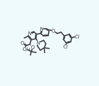 Cc1ncc(-c2ccc(OCCc3cc(Cl)cc(Cl)c3)cn2)c(N2CCC(C)(C)CC2)c1[C@H](OC(C)(C)C)C(=O)O